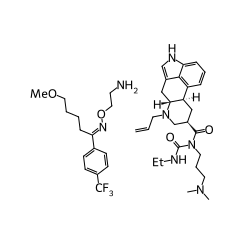 C=CCN1C[C@H](C(=O)N(CCCN(C)C)C(=O)NCC)C[C@@H]2c3cccc4[nH]cc(c34)C[C@H]21.COCCCC/C(=N\OCCN)c1ccc(C(F)(F)F)cc1